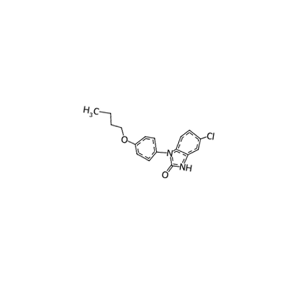 CCCCOc1ccc(-n2c(=O)[nH]c3cc(Cl)ccc32)cc1